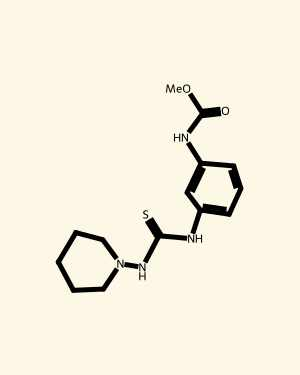 COC(=O)Nc1cccc(NC(=S)NN2CCCCC2)c1